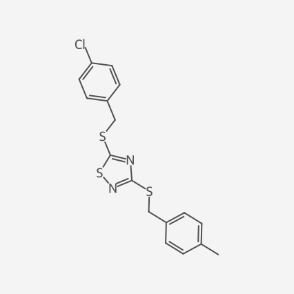 Cc1ccc(CSc2nsc(SCc3ccc(Cl)cc3)n2)cc1